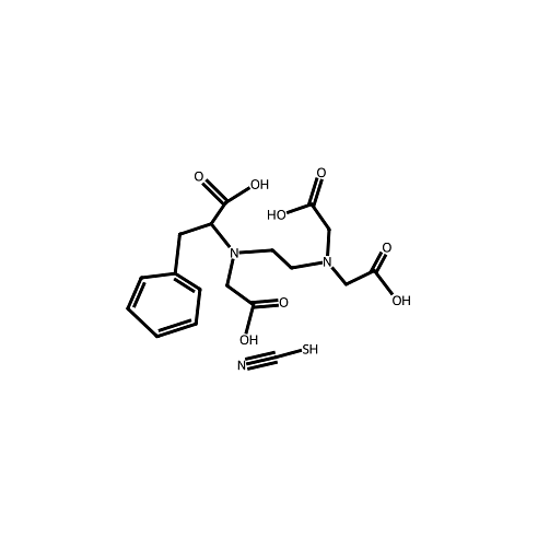 N#CS.O=C(O)CN(CCN(CC(=O)O)C(Cc1ccccc1)C(=O)O)CC(=O)O